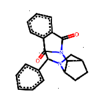 CC(c1ccccc1)N1CC2CCC1C2N1C(=O)c2ccccc2C1=O